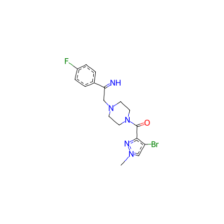 Cn1cc(Br)c(C(=O)N2CCN(CC(=N)c3ccc(F)cc3)CC2)n1